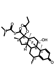 CCC(=O)O[C@]1(C(=O)SC(=O)N(C)C)[C@H](C)C[C@H]2C3C[C@H](F)C4=CC(=O)C=C[C@]4(C)[C@@]3(F)[C@@H](O)C[C@@]21C